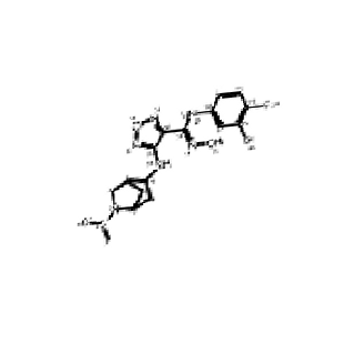 C[S+]([O-])N1CC2CC1CC2Nc1nonc1/C(=N/O)Nc1ccc(F)c(Br)c1